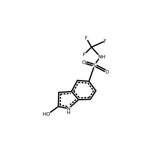 O=S(=O)(NC(F)(F)F)c1ccc2[nH]c(O)cc2c1